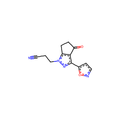 N#CCCn1nc(-c2ccno2)c2c1CCC2=O